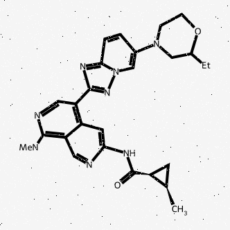 CCC1CN(c2ccc3nc(-c4cnc(NC)c5cnc(NC(=O)[C@H]6C[C@H]6C)cc45)nn3c2)CCO1